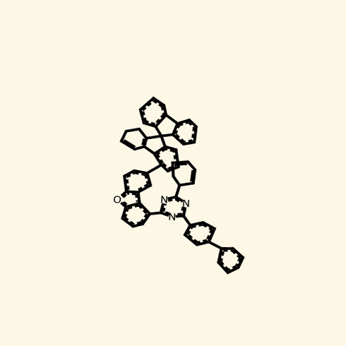 C1=CCC(c2nc(-c3ccc(-c4ccccc4)cc3)nc(-c3cccc4oc5ccc(-c6cccc7c6C6=C(CCC=C6)C76c7ccccc7-c7ccccc76)cc5c34)n2)C=C1